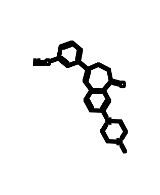 COc1cccc(C2=Cc3ccc(N4CCN(C)CC4)cc3C(=O)CC2)c1